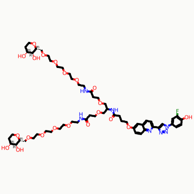 O=C(CCOCC(COCCC(=O)NCCOCCOCCOCCOC[C@H]1OCC[C@@H](O)[C@H]1O)NC(=O)CCCOc1ccc2nc(-c3cn(-c4ccc(O)c(F)c4)nn3)ccc2c1)NCCOCCOCCOCCOC[C@H]1OCC[C@@H](O)[C@H]1O